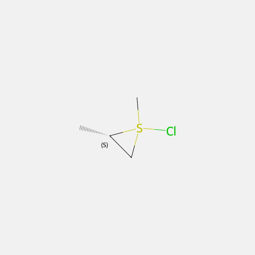 C[C@H]1CS1(C)Cl